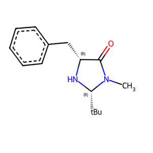 CN1C(=O)[C@@H](Cc2ccccc2)N[C@H]1C(C)(C)C